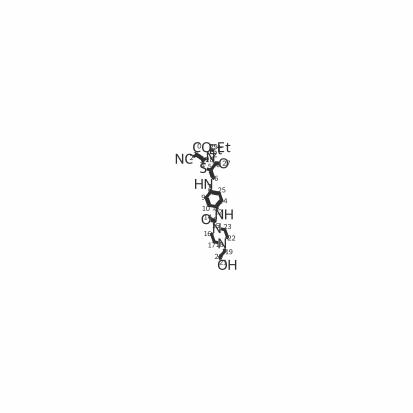 CCOC(=O)C(C#N)=c1sc(=CNc2ccc(NC(=O)N3CCN(CCO)CC3)cc2)c(=O)n1CC